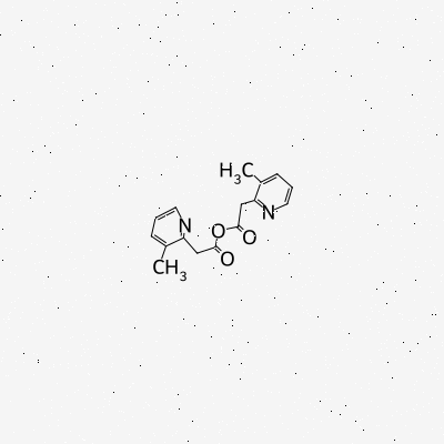 Cc1cccnc1CC(=O)OC(=O)Cc1ncccc1C